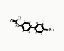 CCCCc1ccc(-c2ccc(OC(=O)Cl)cc2)cc1